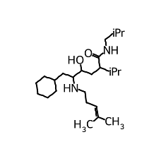 CC(C)=CCCNC(CC1CCCCC1)C(O)CC(C(=O)NCC(C)C)C(C)C